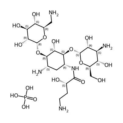 NCC[C@H](O)C(=O)N[C@@H]1C[C@H](N)[C@@H](O[C@H]2O[C@H](CN)[C@@H](O)[C@H](O)[C@H]2O)[C@H](O)[C@H]1O[C@H]1O[C@H](CO)[C@@H](O)[C@H](N)[C@H]1O.O=P(O)(O)O